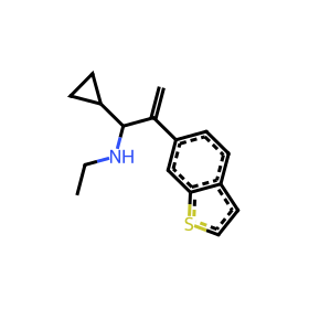 C=C(c1ccc2ccsc2c1)C(NCC)C1CC1